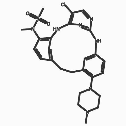 CN1CCN(c2ccc3cc2CCc2ccc(N(C)S(C)(=O)=O)c(c2)Nc2nc(ncc2Cl)N3)CC1